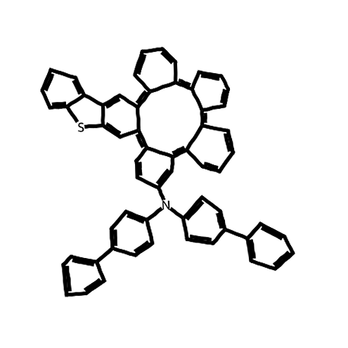 c1ccc(-c2ccc(N(c3ccc(-c4ccccc4)cc3)c3ccc4c(c3)c3ccccc3c3ccccc3c3ccccc3c3cc5c(cc43)sc3ccccc35)cc2)cc1